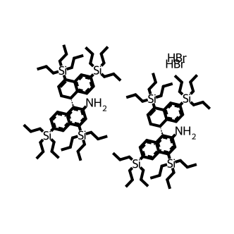 Br.Br.CCC[Si](CCC)(CCC)C1=CC[C@@H](c2c(N)cc([Si](CCC)(CCC)CCC)c3cc([Si](CCC)(CCC)CCC)ccc23)c2ccc([Si](CCC)(CCC)CCC)cc21.CCC[Si](CCC)(CCC)C1=CC[C@@H](c2c(N)cc([Si](CCC)(CCC)CCC)c3cc([Si](CCC)(CCC)CCC)ccc23)c2ccc([Si](CCC)(CCC)CCC)cc21